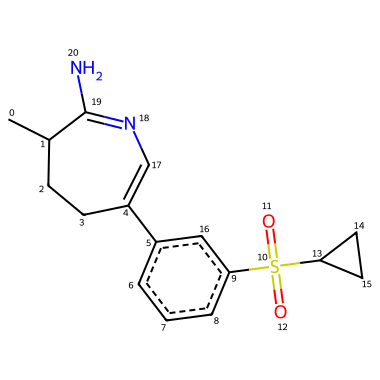 CC1CCC(c2cccc(S(=O)(=O)C3CC3)c2)=CN=C1N